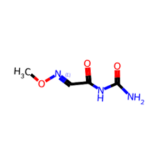 CO/N=C/C(=O)NC(N)=O